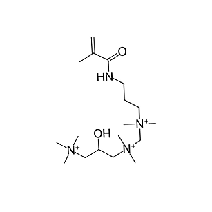 C=C(C)C(=O)NCCC[N+](C)(C)C[N+](C)(C)CC(O)C[N+](C)(C)C